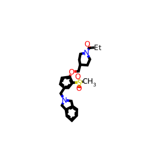 CCC(=O)N1CCC(COc2ccc(CN3Cc4ccccc4C3)cc2S(C)(=O)=O)CC1